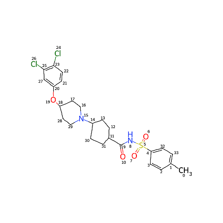 Cc1ccc(S(=O)(=O)NC(=O)C2CCC(N3CCC(Oc4ccc(Cl)c(Cl)c4)CC3)CC2)cc1